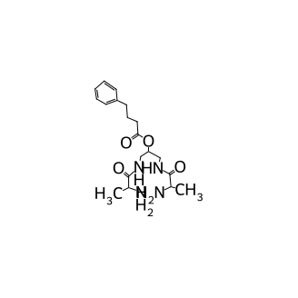 CC(N)C(=O)NCC(CNC(=O)C(C)N)OC(=O)CCCc1ccccc1